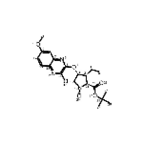 CC[C@@H]1[C@@H](Oc2nc3cc(OC)ccc3nc2Cl)CN(Cl)[C@@H]1C(=O)OC(C)(C)C